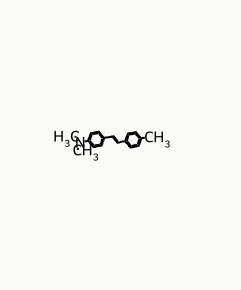 Cc1ccc(C=Cc2ccc(N(C)C)cc2)cc1